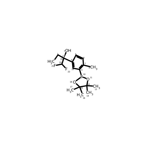 CC[C@](O)(c1ccc(C)c(B2OC(C)(C)C(C)(C)O2)c1)C(F)F